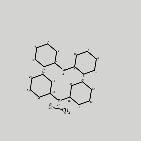 C1CCC([P]C2CCCCC2)CC1.C1CCC([P]C2CCCCC2)CC1.CCC